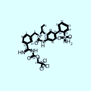 CCC(C)N(Cc1cccc(C(=N)NC(=O)OCC(Cl)(Cl)Cl)c1)C(=O)Nc1ccc(-c2ccccc2S(N)(=O)=O)cc1